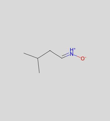 CC(C)CC=[NH+][O-]